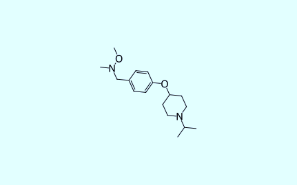 CON(C)Cc1ccc(OC2CCN(C(C)C)CC2)cc1